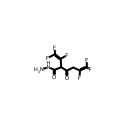 NNC(=O)C(C(=O)CC(F)=C(F)F)C(F)=C(F)F